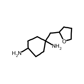 NC1CCC(N)(CC2CCCO2)CC1